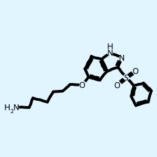 NCCCCCCOc1ccc2[nH]nc(S(=O)(=O)c3ccccc3)c2c1